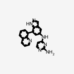 Nc1nccc(Nc2cc(-c3cccc4cccnc34)c3[nH]ncc3c2)n1